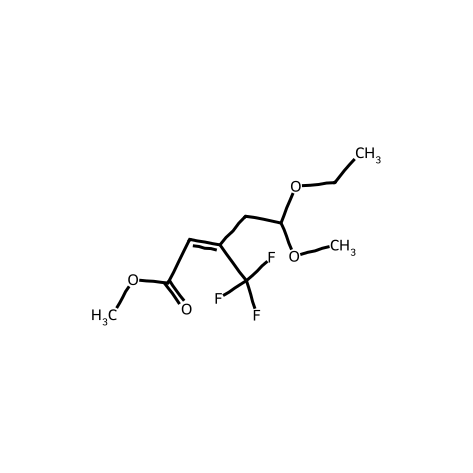 CCOC(CC(=CC(=O)OC)C(F)(F)F)OC